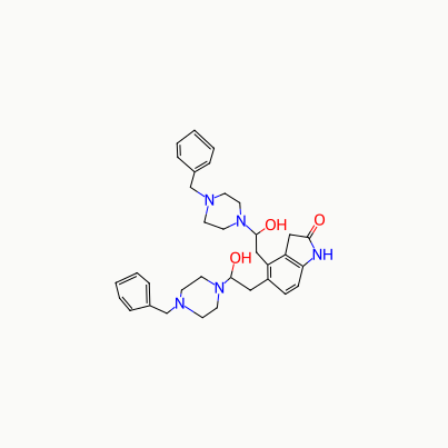 O=C1Cc2c(ccc(CC(O)N3CCN(Cc4ccccc4)CC3)c2CC(O)N2CCN(Cc3ccccc3)CC2)N1